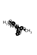 CCOc1ccc(-c2cnc(Nc3cccc(S(C)(=N)=O)c3)nc2NCc2ccccc2C(F)(F)F)cc1